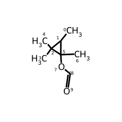 CC1C(C)(C)C1(C)O[C]=O